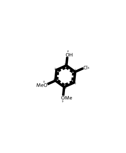 COc1cc(O)c(Cl)cc1OC